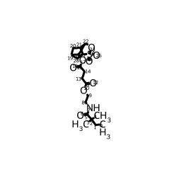 CCC(C)(C)C(=O)NCCOC(=O)CCC(=O)OC1C2CC3C1OS(=O)(=O)C3C2